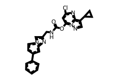 O=C(NCc1cn2ccc(-c3ccccc3)cc2n1)Oc1cc(Cl)nc2c(C3CC3)cnn12